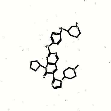 CN1CCC(n2ccnc2-c2cc3cnc(Nc4ccc(NC5CCCNC5)cc4)nc3n(C3CCCC3)c2=O)CC1